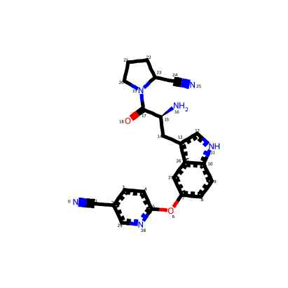 N#Cc1ccc(Oc2ccc3[nH]cc(C[C@H](N)C(=O)N4CCCC4C#N)c3c2)nc1